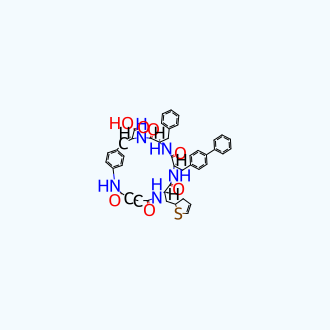 O=C1CCC(=O)N[C@@H](CC2CC=CS2)C(=O)N[C@H](Cc2ccc(-c3ccccc3)cc2)C(=O)N[C@H](Cc2ccccc2)C(=O)N[C@H](C(=O)O)Cc2ccc(cc2)N1